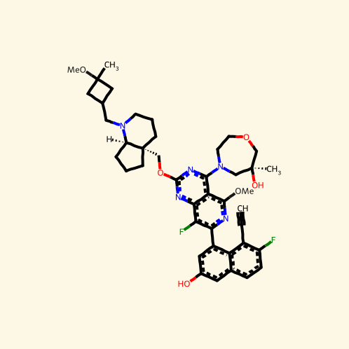 C#Cc1c(F)ccc2cc(O)cc(-c3nc(OC)c4c(N5CCOC[C@@](C)(O)C5)nc(OC[C@]56CCC[C@H]5N(CC5CC(C)(OC)C5)CCC6)nc4c3F)c12